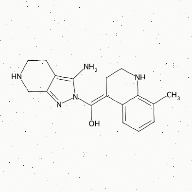 Cc1cccc2c1NCC/C2=C(/O)n1nc2c(c1N)CCNC2